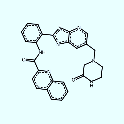 O=C1CN(Cc2cnc3sc(-c4ccccc4NC(=O)c4ccc5ccccc5n4)nc3c2)CCN1